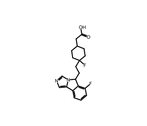 O=C(O)CC1CCC(F)(CCC2c3c(F)cccc3-c3cncn32)CC1